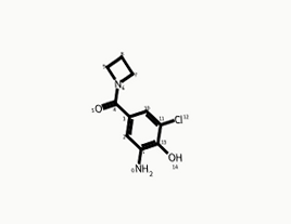 Nc1cc(C(=O)N2CCC2)cc(Cl)c1O